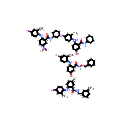 Cc1cc(I)ccc1Nc1ccc(Br)cc1C(=O)NC1CCCCC1.Cc1cc(I)ccc1Nc1ccc(Br)cc1C(=O)NOCc1ccccc1.Cc1cc(I)ccc1Nc1ccc([N+](=O)[O-])cc1C(=O)NC1CCCCC1.Cc1cccc(CNC(=O)c2cc(Cl)ccc2Nc2ccc(I)cc2C)c1